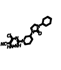 N#CC1=C(Cl)N=C(N2CCCC(N3CCN(C4CCCCC4)C3=O)C2)NN1